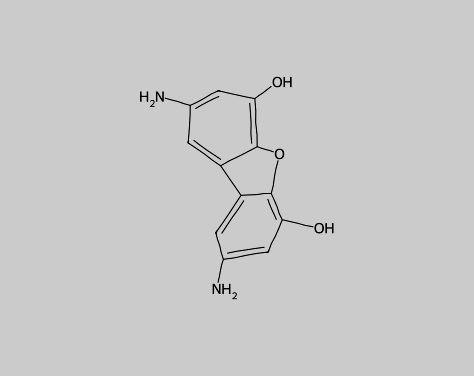 Nc1cc(O)c2oc3c(O)cc(N)cc3c2c1